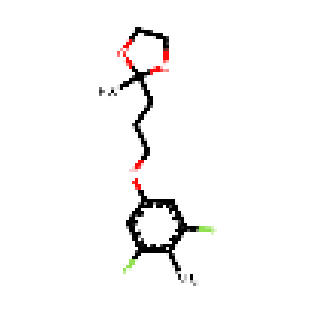 Cc1c(F)cc(OCCCC2(C)OCCO2)cc1F